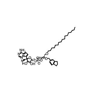 CCCCCCCCCCCCCCCCCOC[C@H](COP(=O)(O)OC[C@H]1O[C@@](C#N)(c2ccc3c(N)ncnn23)[C@H](O)[C@@H]1O)OCc1ccc2c(c1)CCC2